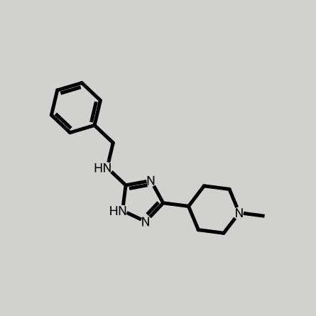 CN1CCC(c2n[nH]c(NCc3ccccc3)n2)CC1